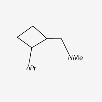 CCCC1CCC1CNC